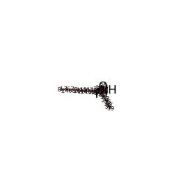 CCCCCCCCCCCCCCCCCCCCCc1ccc2c(=O)[nH]nc(CCCCCCCCCC)c2c1F